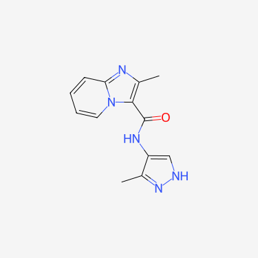 Cc1n[nH]cc1NC(=O)c1c(C)nc2ccccn12